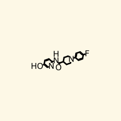 O=C(Nc1ccc(O)cn1)C1CCN(c2ccc(F)cc2)CC1